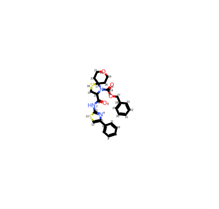 O=C(Nc1nc(-c2ccccc2)cs1)C1CSC2(CCOCC2)N1C(=O)OCc1ccccc1